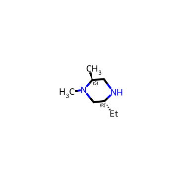 CC[C@@H]1CN(C)[C@@H](C)CN1